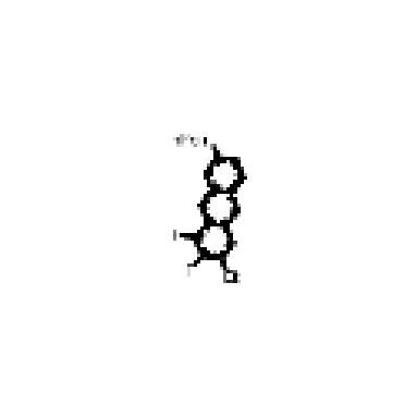 CCCCCc1ccc2cc3cc(CC)c(F)c(F)c3cc2c1